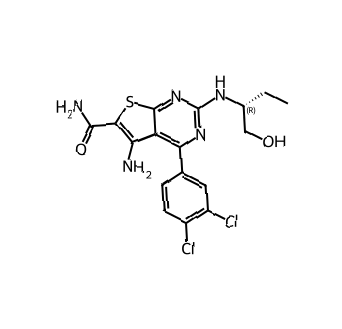 CC[C@H](CO)Nc1nc(-c2ccc(Cl)c(Cl)c2)c2c(N)c(C(N)=O)sc2n1